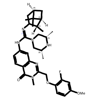 COc1ccc(OCc2nc3cc(N/C(=N/C4C[C@H]5C[C@@H]([C@@H]4C)C5(C)C)N4C[C@@H](C)N[C@@H](C)C4)ccc3c(=O)n2C)c(F)c1